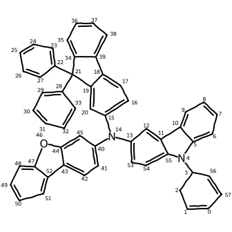 C1=CCC(n2c3ccccc3c3cc(N(c4ccc5c(c4)C(c4ccccc4)(c4ccccc4)c4ccccc4-5)c4ccc5c(c4)oc4ccccc45)ccc32)C=C1